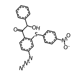 [N-]=[N+]=Nc1ccc(C(=O)C(O)c2ccccc2)c(Sc2ccc([N+](=O)[O-])cc2)c1